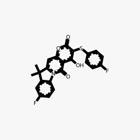 CC1(C)c2cc(F)ccc2-n2c1cc1oc(=O)c(Sc3ccc(F)cc3)c(O)c1c2=O